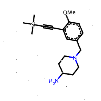 COc1ccc(CN2CCC(N)CC2)cc1C#C[Si](C)(C)C